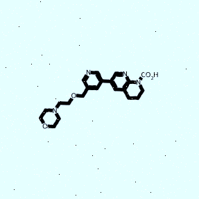 O=C(O)N1CCCc2cc(-c3cncc(COCCN4CCOCC4)c3)cnc21